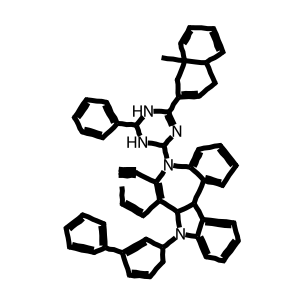 C#CC1=C(/C=C\C)C2C(c3ccccc3N1C1N=C(C3=CCC4C=CC=CC4(C)C3)NC(c3ccccc3)N1)c1ccccc1N2C1C=C(c2ccccc2)C=CC1